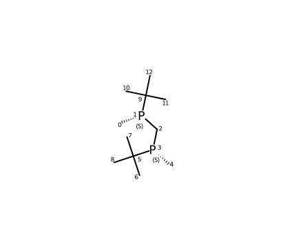 C[P@@](C[P@](C)C(C)(C)C)C(C)(C)C